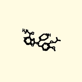 COc1ccc(CN(c2nc3c(C(N)=O)[c]ccc3o2)C2CCNCC2)cc1OCC(C)C